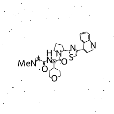 CN[C@@H](C)C(=O)N[C@H](C(=O)N1CCCC1c1nc(-c2ccnc3ccccc23)cs1)C1CCOCC1